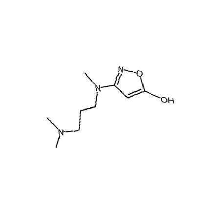 CN(C)CCCN(C)c1cc(O)on1